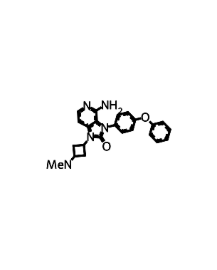 CNC1CC(n2c(=O)n(-c3ccc(Oc4ccccc4)cc3)c3c(N)nccc32)C1